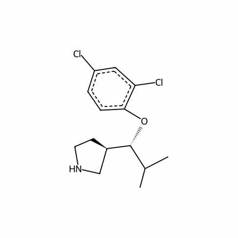 CC(C)[C@@H](Oc1ccc(Cl)cc1Cl)[C@@H]1CCNC1